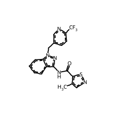 Cc1cnsc1C(=O)Nc1nn(Cc2ccc(C(F)(F)F)nc2)c2ccccc12